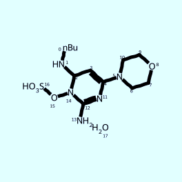 CCCCNC1C=C(N2CCOCC2)N=C(N)N1OS(=O)(=O)O.O